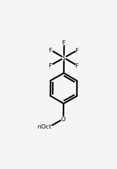 CCCCCCCCOc1ccc(S(F)(F)(F)(F)F)cc1